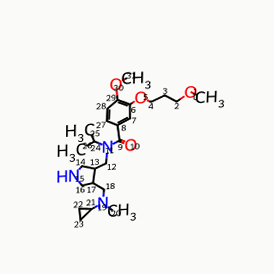 COCCCOc1cc(C(=O)N(CC2CNCC2CN(C)C2CC2)C(C)C)ccc1OC